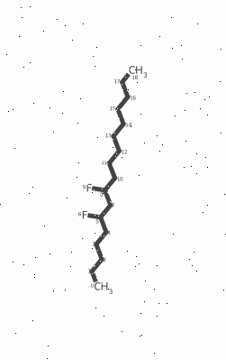 CCC[CH]CC(F)CC(F)CCCCCCCCC